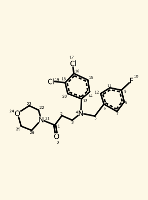 O=C(CCN(Cc1ccc(F)cc1)c1ccc(Cl)c(Cl)c1)N1CCOCC1